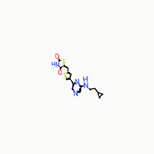 O=C1NC(=O)/C(=C\c2cc(-c3cncc(NCCC4CC4)n3)cs2)S1